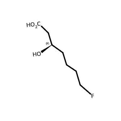 O=C(O)C[C@H](O)CCCCF